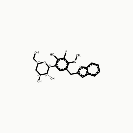 COc1c(Cc2cc3ccccc3s2)cc([C@@H]2O[C@H](CO)C[C@H](O)[C@H]2O)c(O)c1F